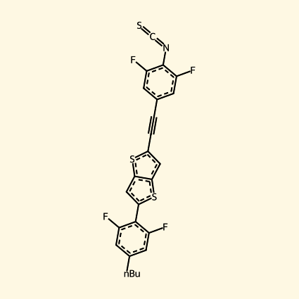 CCCCc1cc(F)c(-c2cc3sc(C#Cc4cc(F)c(N=C=S)c(F)c4)cc3s2)c(F)c1